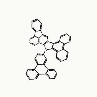 c1ccc2c(c1)-c1cccc3c1c-2cc1c2c4ccccc4c4ccccc4c2n(-c2ccc4c5ccccc5c5ccccc5c4c2)c31